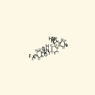 O=S(=O)(NCc1cccc(-c2n[nH]cc2-c2ccncc2)c1)c1ccc(C(F)(F)F)cc1